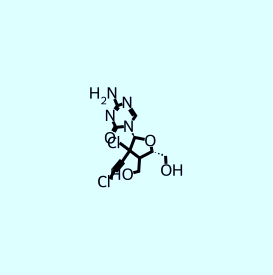 Nc1ncn([C@@H]2O[C@H](CO)C(CO)C2(Cl)C#CCl)c(=O)n1